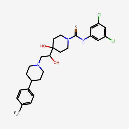 OC(CN1CCC(c2ccc(C(F)(F)F)cc2)CC1)C1(O)CCN(C(=S)Nc2cc(Cl)cc(Cl)c2)CC1